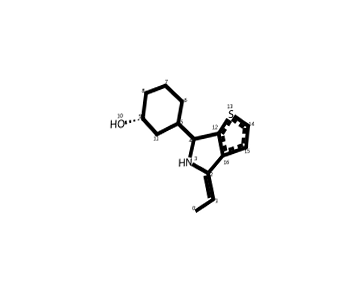 C/C=C1\NC(C2CCC[C@@H](O)C2)c2sccc21